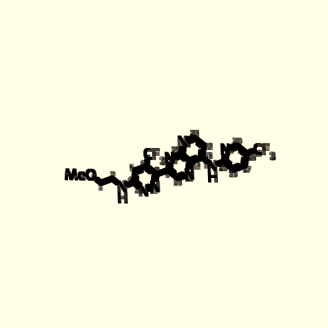 COCCNc1cc(C(F)(F)F)c(-c2cnc3c(Nc4ccc(C(F)(F)F)cn4)ccnc3n2)nn1